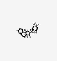 CC[C@]1(O)CC2CCC(N3C[C@@H]4c5ccccc5CC[C@H]4C3=O)[C@H](C2)C1